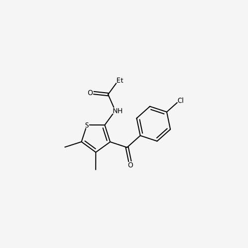 CCC(=O)Nc1sc(C)c(C)c1C(=O)c1ccc(Cl)cc1